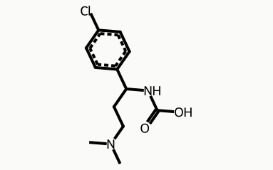 CN(C)CCC(NC(=O)O)c1ccc(Cl)cc1